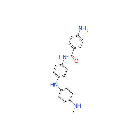 CNc1ccc(Nc2ccc(NC(=O)c3ccc(N)cc3)cc2)cc1